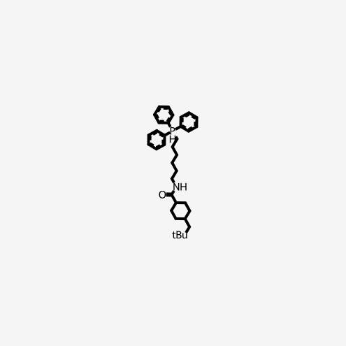 CC(C)(C)CC1CCC(C(=O)NCCCCCC[PH](c2ccccc2)(c2ccccc2)c2ccccc2)CC1